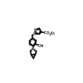 CCOC(=O)c1cnn(Cc2ccc(N3CC4CC4C3)c(C#N)c2)c1